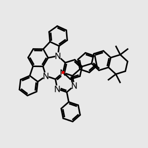 CC1(C)CCC(C)(C)c2cc(-c3cccc(-n4c5ccccc5c5ccc6c7ccccc7n(-c7nc(-c8ccccc8)nc(-c8ccccc8)n7)c6c54)c3)ccc21